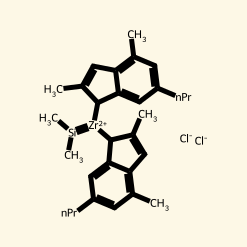 CCCc1cc(C)c2c(c1)[CH]([Zr+2]([CH]1C(C)=Cc3c(C)cc(CCC)cc31)=[Si](C)C)C(C)=C2.[Cl-].[Cl-]